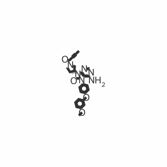 CC#CC(=O)N1CC[C@@H](n2c(=O)n(-c3ccc(Oc4cccc(OC)c4)cc3)c3c(N)ncnc32)C1